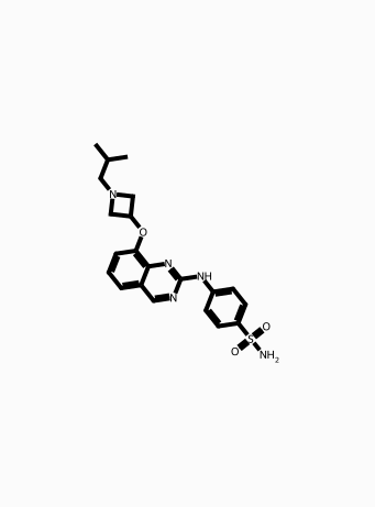 CC(C)CN1CC(Oc2cccc3cnc(Nc4ccc(S(N)(=O)=O)cc4)nc23)C1